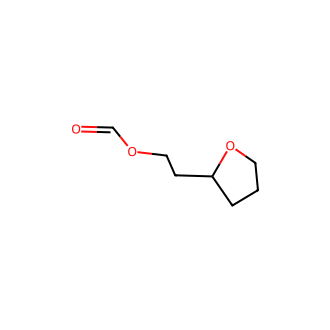 O=COCCC1CCCO1